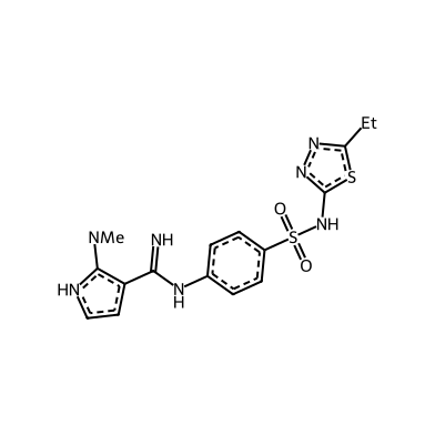 CCc1nnc(NS(=O)(=O)c2ccc(NC(=N)c3cc[nH]c3NC)cc2)s1